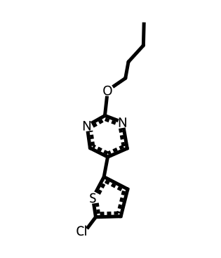 CCCCOc1ncc(-c2ccc(Cl)s2)cn1